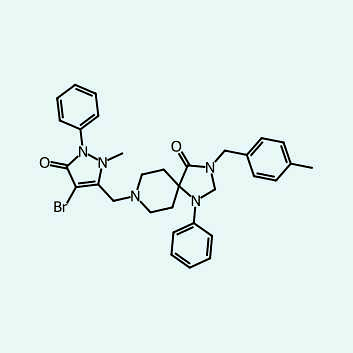 Cc1ccc(CN2CN(c3ccccc3)C3(CCN(Cc4c(Br)c(=O)n(-c5ccccc5)n4C)CC3)C2=O)cc1